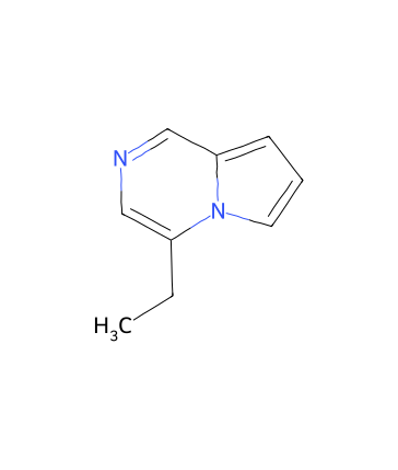 CCc1cncc2cccn12